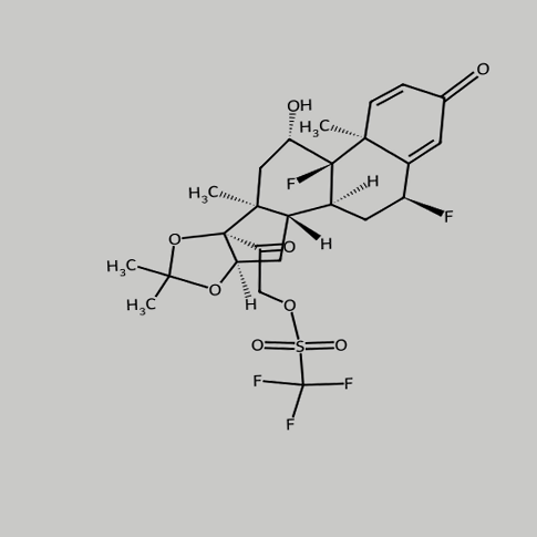 CC1(C)O[C@@H]2C[C@H]3[C@@H]4C[C@H](F)C5=CC(=O)C=C[C@]5(C)[C@@]4(F)[C@@H](O)C[C@]3(C)[C@]2(C(=O)COS(=O)(=O)C(F)(F)F)O1